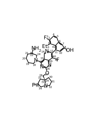 CCc1c(F)ccc2cc(O)cc(-c3ncc4c(N5CCCC[C@@H](N)C5)nc(OC[C@@]56CCCN5C[C@H](F)C6)nc4c3F)c12